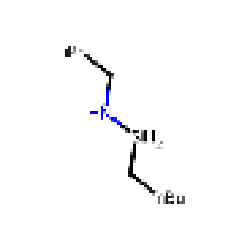 CCCCC[SiH2]NCC(C)C